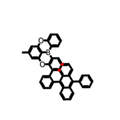 Cc1cc2c3c(c1)Oc1c(cccc1-c1ccccc1-c1c4ccccc4c(-c4ccccc4)c4ccccc14)B3c1ccccc1O2